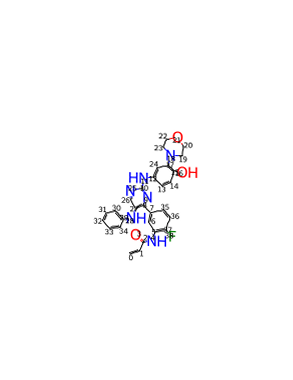 C=CC(=O)Nc1cc(-c2nc(Nc3ccc(O)c(N4CCOCC4)c3)ncc2Nc2ccccc2)ccc1F